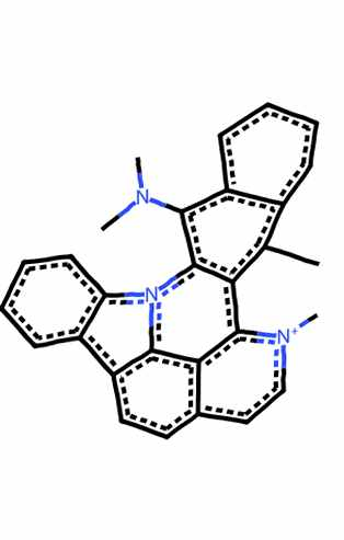 Cc1c2ccccc2c(N(C)C)c2c1c1c3c(ccc4c5ccccc5n2c43)cc[n+]1C